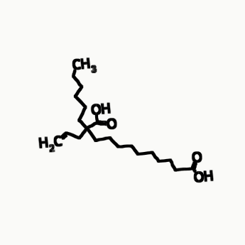 C=CCC(CCCCCC)(CCCCCCCCCC(=O)O)C(=O)O